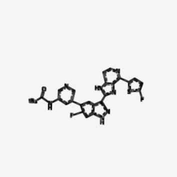 CC(C)(C)C(=O)Nc1cncc(-c2cc3c(-c4nc5c(-c6ccc(F)s6)nccc5[nH]4)n[nH]c3cc2F)c1